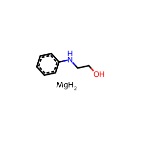 OCCNc1ccccc1.[MgH2]